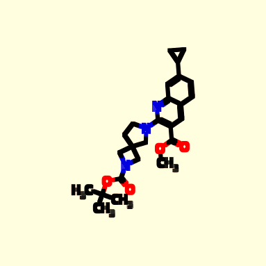 COC(=O)c1cc2ccc(C3CC3)cc2nc1N1CCC2(CN(C(=O)OC(C)(C)C)C2)C1